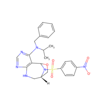 CC(C)N(Cc1ccccc1)c1ncnc2c1C1OC[C@H](CN2)N1S(=O)(=O)c1ccc([N+](=O)[O-])cc1